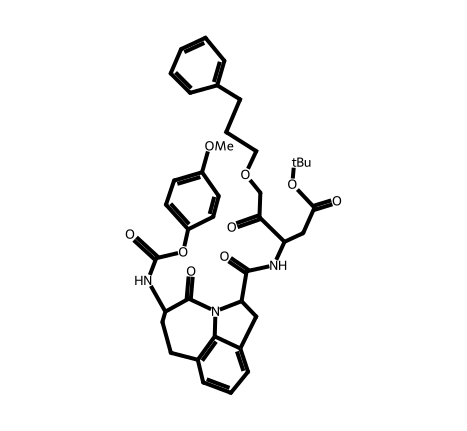 COc1ccc(OC(=O)NC2CCc3cccc4c3N(C2=O)C(C(=O)NC(CC(=O)OC(C)(C)C)C(=O)COCCCc2ccccc2)C4)cc1